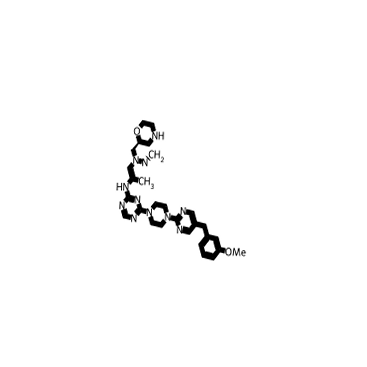 C=NN(/C=C(\C)Nc1ncnc(N2CCN(c3ncc(Cc4cccc(OC)c4)cn3)CC2)n1)C[C@@H]1CNCCO1